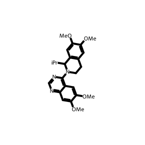 COc1cc2c(cc1OC)C(C(C)C)N(c1ncnc3cc(OC)c(OC)cc13)CC2